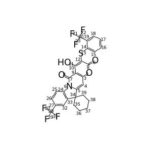 O=c1oc2cc3n(c(=O)c2c(O)c1Sc1ccccc1C(F)(F)F)-c1ccc(C(F)(F)F)cc1C31CCCCC1